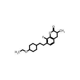 CCOC1CCC(CCc2ccc3c(c2F)OC(=O)C(C)C3)CC1